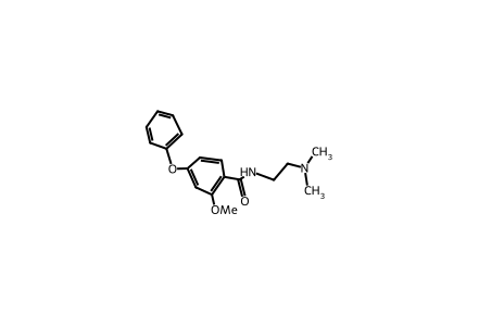 COc1cc(Oc2ccccc2)ccc1C(=O)NCCN(C)C